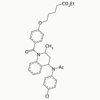 CCOC(=O)CCCCOc1ccc(C(=O)N2c3ccccc3C(N(C(C)=O)c3ccc(Cl)cc3)CC2C)cc1